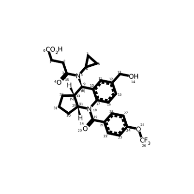 O=C(O)CCC(=O)N(C1CC1)[C@H]1c2cc(CO)ccc2N(C(=O)c2ccc(OC(F)(F)F)cc2)[C@@H]2CCC[C@@H]21